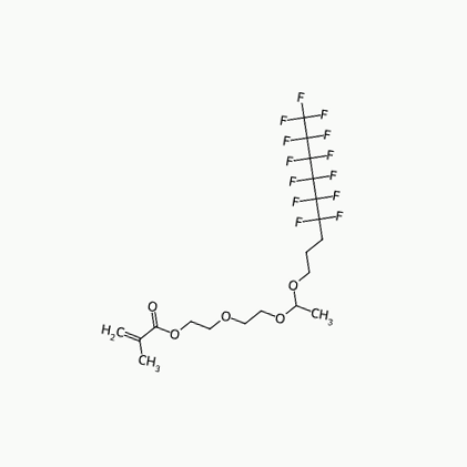 C=C(C)C(=O)OCCOCCOC(C)OCCCC(F)(F)C(F)(F)C(F)(F)C(F)(F)C(F)(F)C(F)(F)F